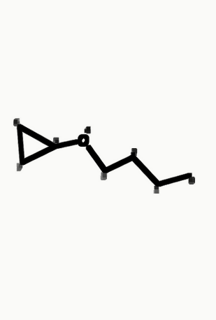 CCCCOC1CC1